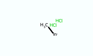 Cl.Cl.[CH3][In]